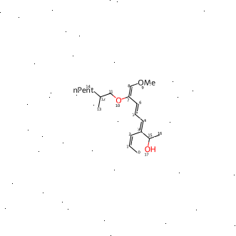 C\C=C/C(=C\C=C\C(=C/OC)OCC(C)CCCCC)C(C)O